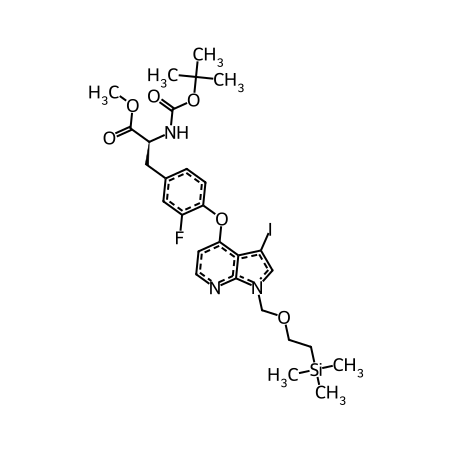 COC(=O)[C@H](Cc1ccc(Oc2ccnc3c2c(I)cn3COCC[Si](C)(C)C)c(F)c1)NC(=O)OC(C)(C)C